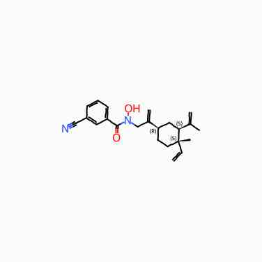 C=C[C@]1(C)CC[C@@H](C(=C)CN(O)C(=O)c2cccc(C#N)c2)C[C@H]1C(=C)C